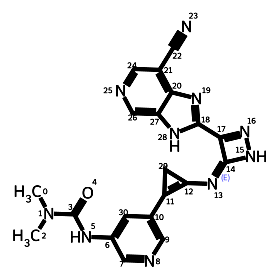 CN(C)C(=O)Nc1cncc(C2=C(/N=C3/NN=C3c3nc4c(C#N)cncc4[nH]3)C2)c1